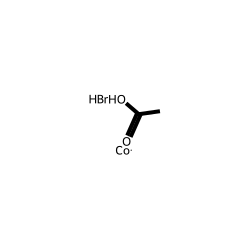 Br.CC(=O)O.[Co]